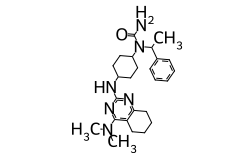 CC(c1ccccc1)N(C(N)=O)C1CCC(Nc2nc3c(c(N(C)C)n2)CCCC3)CC1